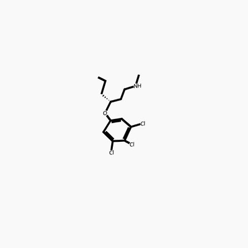 CCC[C@H](CCNC)Oc1cc(Cl)c(Cl)c(Cl)c1